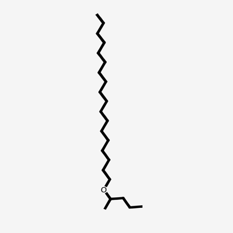 CCCCCCCCCCCCCCCCCCOC(C)CCC